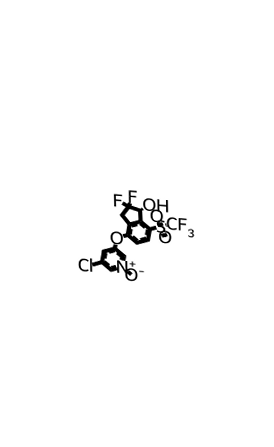 O=S(=O)(c1ccc(Oc2cc(Cl)c[n+]([O-])c2)c2c1[C@H](O)C(F)(F)C2)C(F)(F)F